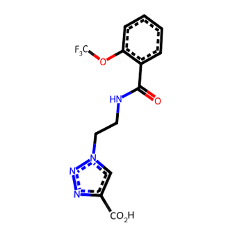 O=C(O)c1cn(CCNC(=O)c2ccccc2OC(F)(F)F)nn1